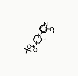 COc1cc(N2CCN(C(=O)OC(C)(C)C)C[C@H]2C)ccn1